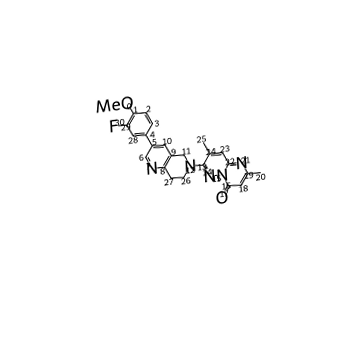 COc1ccc(-c2cnc3c(c2)CN(c2nn4c(=O)cc(C)nc4cc2C)CC3)cc1F